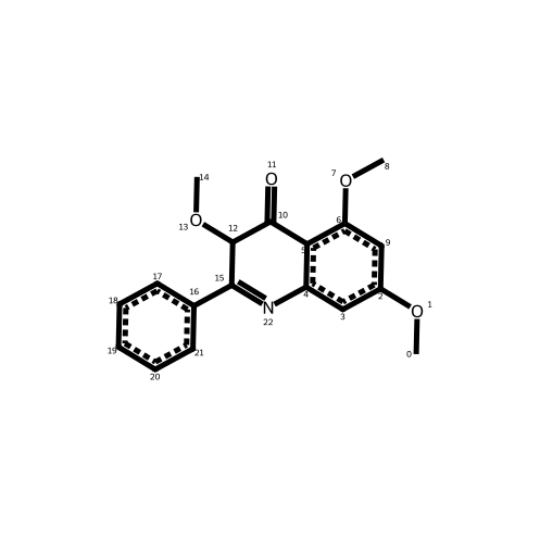 COc1cc2c(c(OC)c1)C(=O)C(OC)C(c1ccccc1)=N2